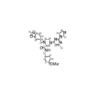 COc1ccc(CNC(=O)C2CN(c3cc(C)nc(-n4ccnc4)n3)CCN2Cc2ccc3c(c2)OCO3)cc1